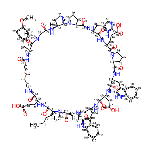 CCCC[C@H]1C(=O)N[C@@H](CCC(=O)O)C(=O)NCCSCC(=O)N[C@@H](Cc2ccc(OC)cc2)C(=O)N(C)CC(=O)N[C@H]2CCN=C2N2CCCC2C(=O)N[C@@H](Cc2cnc[nH]2)C(=O)N[C@@H](CCC(=O)O)C(=O)N2CCCC2C(=O)N[C@@H](Cc2c[nH]c3ccccc23)C(=O)N[C@@H](CC(=O)O)C(=O)N[C@@H](Cc2c[nH]c3ccccc23)C(=O)N(C)CC(=O)N1C